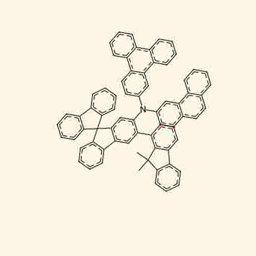 CC1(C)c2ccccc2-c2cccc(-c3cc4c(cc3N(c3ccc5ccc6ccccc6c5c3)c3ccc5c6ccccc6c6ccccc6c5c3)C3(c5ccccc5-c5ccccc53)c3ccccc3-4)c21